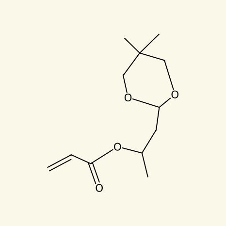 C=CC(=O)OC(C)CC1OCC(C)(C)CO1